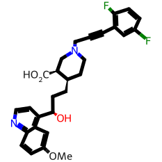 COc1ccc2nccc([C@H](O)CC[C@@H]3CCN(CC#Cc4cc(F)ccc4F)C[C@@H]3C(=O)O)c2c1